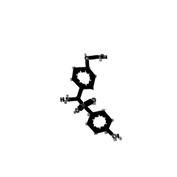 CCCCOc1ccc(C(N)S(=O)(=O)c2ccc(C)cc2)cc1